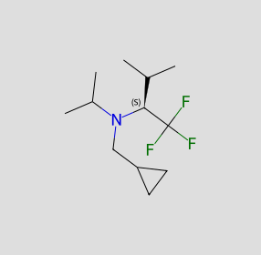 CC(C)[C@H](N(CC1CC1)C(C)C)C(F)(F)F